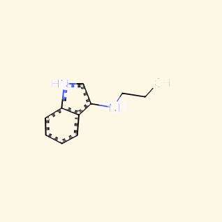 CCCNc1c[nH]c2ccccc12